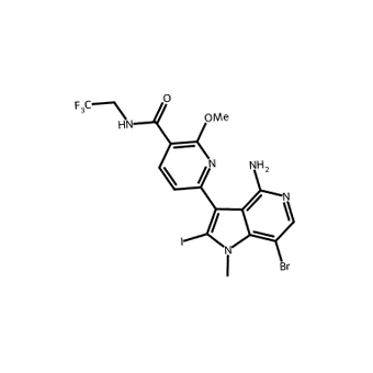 COc1nc(-c2c(I)n(C)c3c(Br)cnc(N)c23)ccc1C(=O)NCC(F)(F)F